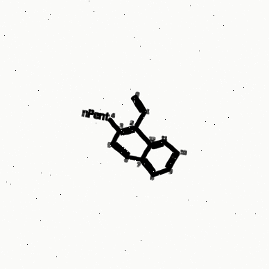 C=Cc1c(CCCCC)ccc2ccccc12